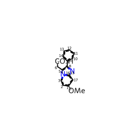 COc1ccn2c(CC(=O)O)c(-c3ccccc3)nc2c1